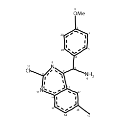 COc1ccc(C(N)c2nc(Cl)nc3ccc(C)cc23)cc1